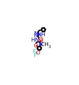 CN1C(=O)C(NC(=O)c2nnc(Cc3ccccc3)[nH]2)COc2cc(OC(F)F)ccc21